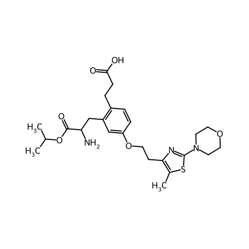 Cc1sc(N2CCOCC2)nc1CCOc1ccc(CCC(=O)O)c(CC(N)C(=O)OC(C)C)c1